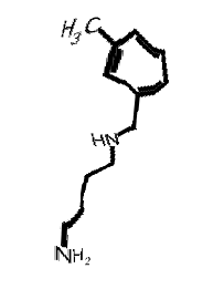 Cc1cccc(CNCCCCN)c1